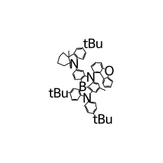 Cc1cc2c3c(c1)N(c1cccc4oc5ccccc5c14)c1cc(N4c5ccc(C(C)(C)C)cc5C5(C)CCCCC45C)ccc1B3c1cc(C(C)(C)C)ccc1N2c1ccc(C(C)(C)C)cc1